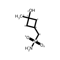 CC1(O)CC(CS(N)(=O)=O)C1